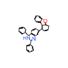 c1ccc(C2=Nc3cc(-c4cccc5oc6ccccc6c45)ccc3C(c3ccccc3)N2)cc1